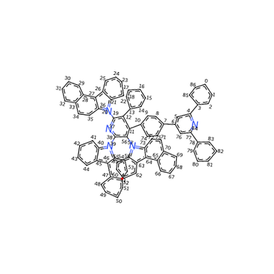 c1ccc(-c2cc(-c3ccc(-c4c(-c5ccccc5)c(-n5c6ccccc6c6c7ccccc7ccc65)nc(-n5c6ccccc6c6c7ccccc7ccc65)c4-n4c5ccccc5c5c6ccccc6ccc54)cc3)cc(-c3ccccc3)n2)cc1